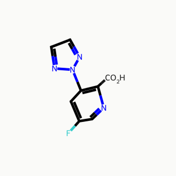 O=C(O)c1ncc(F)cc1-n1nccn1